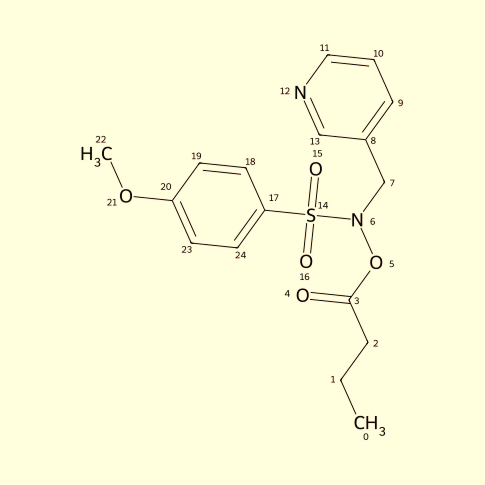 CCCC(=O)ON(Cc1cccnc1)S(=O)(=O)c1ccc(OC)cc1